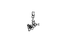 O=C(O)C(CCn1nnc2ccccc2c1=O)COc1ccc(-c2ccc(Cl)cc2)cc1